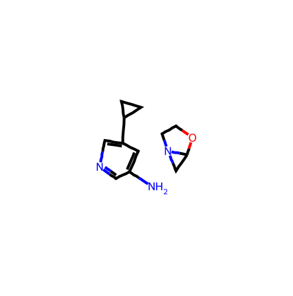 C1CN2CC2O1.Nc1cncc(C2CC2)c1